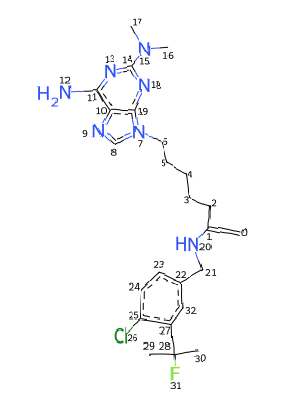 C=C(CCCCCn1cnc2c(N)nc(N(C)C)nc21)NCc1ccc(Cl)c(C(C)(C)F)c1